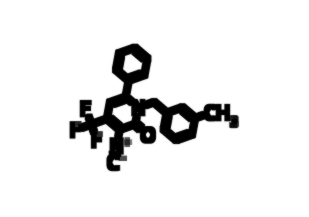 [C-]#[N+]c1c(C(F)(F)F)cc(-c2ccccc2)n(Cc2cccc(C)c2)c1=O